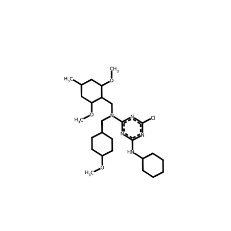 COC1CCC(CN(CC2C(OC)CC(C)CC2OC)c2nc(Cl)nc(NC3CCCCC3)n2)CC1